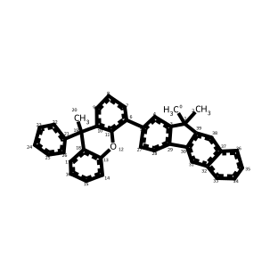 CC1(C)c2cc(-c3cccc4c3Oc3ccccc3C4(C)c3ccccc3)ccc2-c2cc3ccccc3cc21